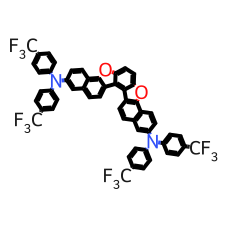 FC(F)(F)c1ccc(N(c2ccc(C(F)(F)F)cc2)c2ccc3c(ccc4c3oc3ccc5oc6c7ccc(N(c8ccc(C(F)(F)F)cc8)c8ccc(C(F)(F)F)cc8)cc7ccc6c5c34)c2)cc1